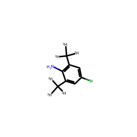 [2H]C([2H])([2H])c1cc(Br)cc(C([2H])([2H])[2H])c1N